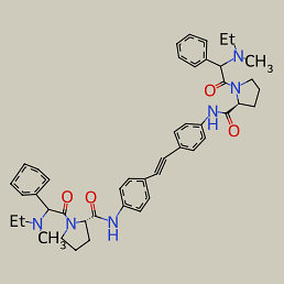 CCN(C)C(C(=O)N1CCC[C@H]1C(=O)Nc1ccc(C#Cc2ccc(NC(=O)[C@@H]3CCCN3C(=O)C(c3ccccc3)N(C)CC)cc2)cc1)c1ccccc1